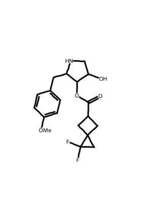 COc1ccc(CC2NCC(O)C2OC(=O)C2CC3(C2)CC3(F)F)cc1